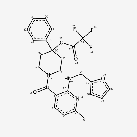 Cc1ccc(C(=O)N2CCC(OC(=O)C(F)(F)F)(c3ccccc3)CC2)c(NCc2ccco2)n1